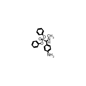 CNC(c1ccc(N)cc1)P(=O)(Oc1ccccc1)Oc1ccccc1